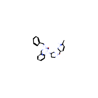 Cc1ccc(C(=O)N2CCC(NC(=O)N(Cc3ccccc3)Cc3ccccc3)C2)cn1